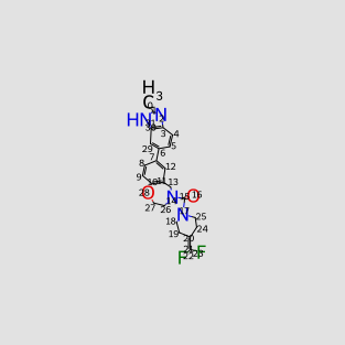 Cc1nc2ccc(-c3ccc4c(c3)CN(C(=O)N3CCC(=C(F)F)CC3)CCO4)cc2[nH]1